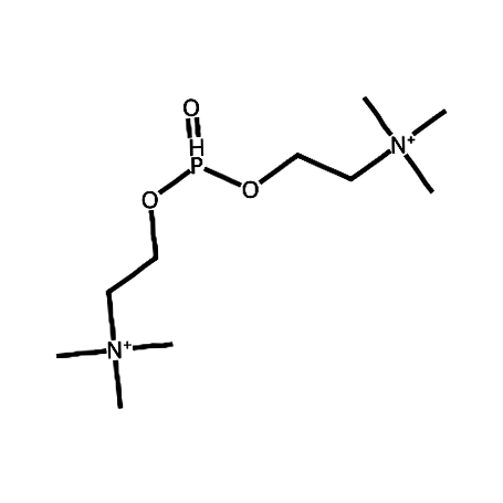 C[N+](C)(C)CCO[PH](=O)OCC[N+](C)(C)C